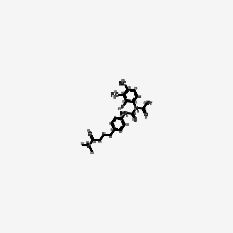 CC(C)C(=O)N(C(=S)Nc1ccc(CCCC(=O)N(C)C)cc1)c1ccc(C#N)c(C(F)(F)F)c1F